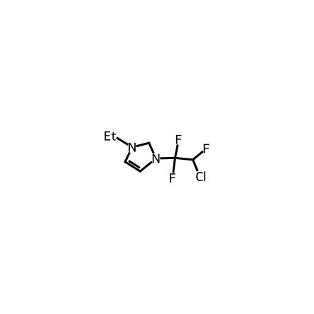 CCN1C=CN(C(F)(F)C(F)Cl)C1